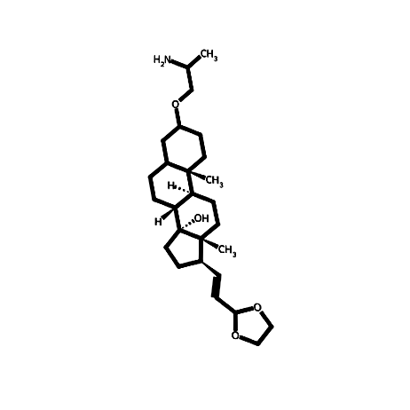 CC(N)COC1CC[C@@]2(C)C(CC[C@@H]3[C@@H]2CC[C@]2(C)[C@@H](/C=C/C4OCCO4)CC[C@@]32O)C1